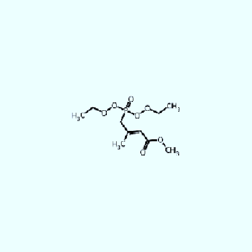 CCOOP(=O)(CC(C)=CC(=O)OC)OOCC